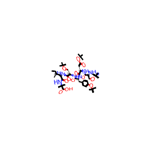 CC[C@H](C)[C@H](NC(=O)[C@H](COC(C)(C)C)NC(=O)[C@H](Cc1ccc(OC(C)(C)C)cc1)NC(=O)[C@H](CC(=O)OC(C)(C)C)NC(=O)[C@@H](N)COC(C)(C)C)C(=O)NC(C)(C)C(=O)O